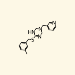 Cc1cccc(CSC2=NCN(Cc3cccnc3)CN2)c1